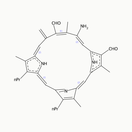 C=C1/C=c2\[nH]/c(c(CCC)c2C)=C\C2=NC(=C\c3[nH]c(c(C=O)c3C)/C=C(N)/C(C)=C\1C=O)/C(C)=C2CCC